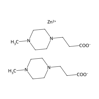 CN1CCN(CCC(=O)[O-])CC1.CN1CCN(CCC(=O)[O-])CC1.[Zn+2]